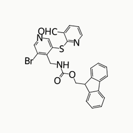 O=Cc1cccnc1Sc1cncc(Br)c1CNC(=O)OCC1c2ccccc2-c2ccccc21